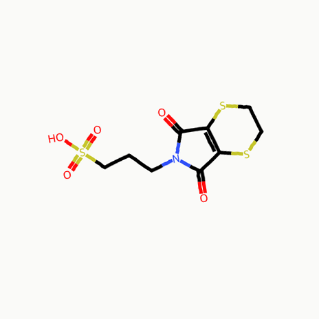 O=C1C2=C(SCCS2)C(=O)N1CCCS(=O)(=O)O